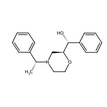 C[C@H](c1ccccc1)N1CCO[C@H]([C@H](O)c2ccccc2)C1